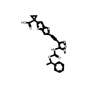 CC(OC(=O)Nc1c(C#Cc2cc3sc(C4(C(=O)O)CC4)cc3s2)nnn1C)c1ccccc1